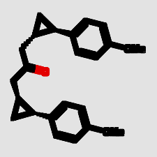 COc1ccc([C@@H]2C[C@H]2CC(=O)C[C@@H]2C[C@H]2c2ccc(OC)cc2)cc1